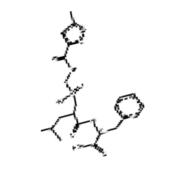 Cc1cc(C(=O)NCP(=O)(O)CC(CC(C)C)C(=O)N[C@@H](Cc2ccccc2)C(=O)O)on1